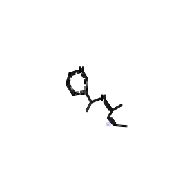 C/C=C\C(C)=NC(C)c1cccnc1